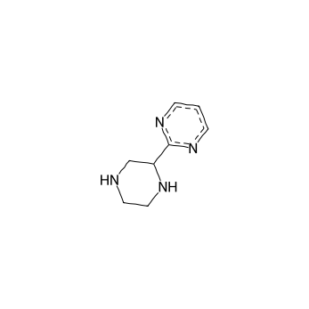 c1cnc(C2CNCCN2)nc1